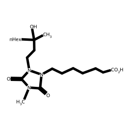 CCCCCCC(C)(O)CCn1c(=O)n(C)c(=O)n1CCCCCCC(=O)O